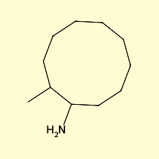 CC1CCCCCCCCC1N